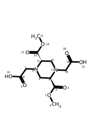 COC(=O)[C@H]1CN(CC(=O)O)[C@H](C(=O)OC)CN1CC(=O)O